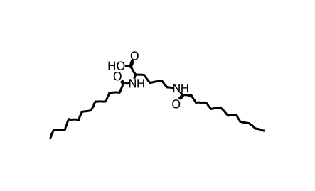 CCCCCCCCCCCC(=O)NCCCCC(NC(=O)CCCCCCCCCCC)C(=O)O